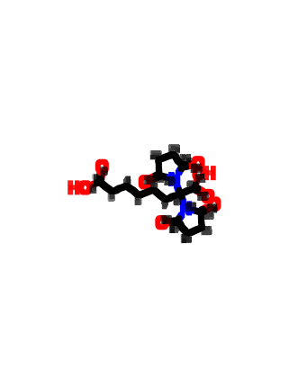 O=C(O)CCCCCC(C(=O)O)(N1C(=O)CCC1=O)N1C(=O)CCC1=O